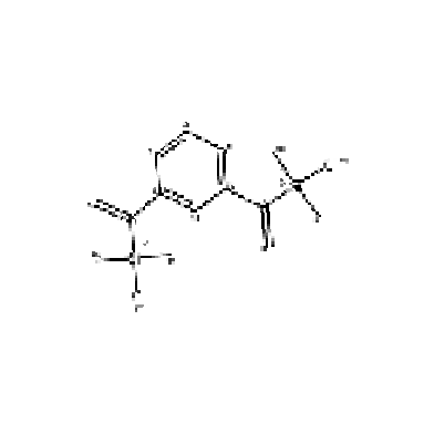 C=C(c1cccc(C(=C)[Si](C)(C)Cl)c1)[Si](C)(C)Cl